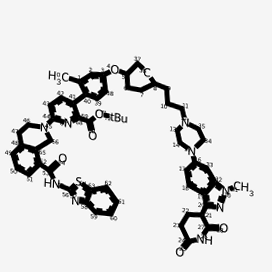 Cc1cc(OC2CCC(CCCN3CCN(c4ccc5c(C6CCC(=O)NC6=O)nn(C)c5c4)CC3)CC2)ccc1-c1ccc(N2CCc3cccc(C(=O)Nc4nc5ccccc5s4)c3C2)nc1C(=O)OC(C)(C)C